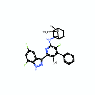 N#Cc1c(-c2n[nH]c3c(F)cc(F)cc23)nc(NC2C3CCC(CC3)[C@H]2C(=O)O)c(F)c1-c1ccccc1